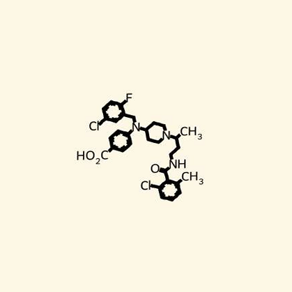 Cc1cccc(Cl)c1C(=O)NCCC(C)N1CCC(N(Cc2cc(Cl)ccc2F)c2ccc(C(=O)O)cc2)CC1